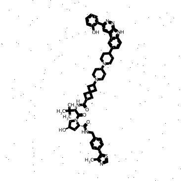 Cc1ncsc1-c1ccc(CNC(=O)[C@@H]2C[C@@H](O)CN2C(=O)[C@@H](NC(=O)C2CC3(C2)CC(N2CCC(N4CCC(c5ccc6[nH]c7nnc(-c8ccccc8O)cc7c6c5)CC4)CC2)C3)C(C)(C)C)cc1